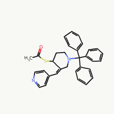 CC(=O)SC1CCN(C(c2ccccc2)(c2ccccc2)c2ccccc2)CC1=Cc1ccncc1